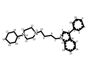 c1ccc(-c2cn(CCCCN3CCN(C4CCCCC4)CC3)c3ccccc23)cc1